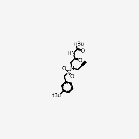 C#CCN(CC(=O)NC(=O)CCCC)S(=O)(=O)Cc1cccc(C(C)(C)C)c1